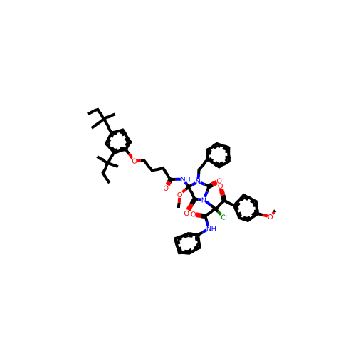 CCC(C)(C)c1ccc(OCCCC(=O)NC2(OC)C(=O)N(C(Cl)(C(=O)Nc3ccccc3)C(=O)c3ccc(OC)cc3)C(=O)N2Cc2ccccc2)c(C(C)(C)CC)c1